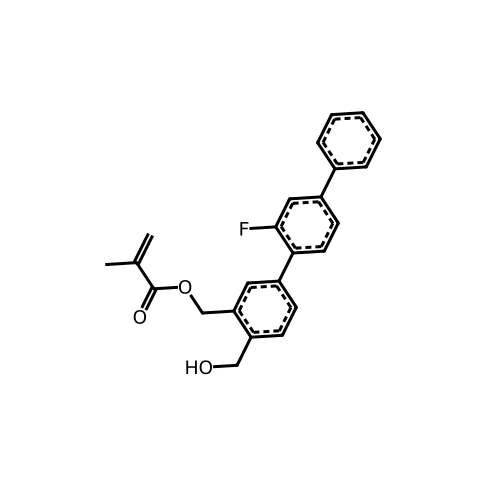 C=C(C)C(=O)OCc1cc(-c2ccc(-c3ccccc3)cc2F)ccc1CO